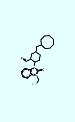 CCn1c(=O)n(C2CCN(CC3CCCCCCC3)CC2C=O)c2ccccc21